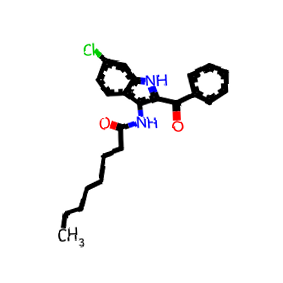 CCCCCCCC(=O)Nc1c(C(=O)c2ccccc2)[nH]c2cc(Cl)ccc12